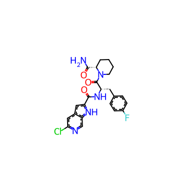 NC(=O)[C@@H]1CCCCN1C(=O)[C@H](Cc1ccc(F)cc1)NC(=O)c1cc2cc(Cl)ncc2[nH]1